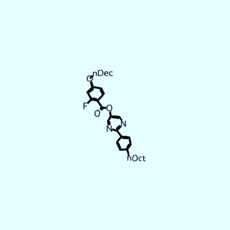 CCCCCCCCCCOc1ccc(C(=O)Oc2cnc(-c3ccc(CCCCCCCC)cc3)nc2)c(F)c1